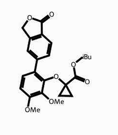 CCC(C)OC(=O)C1(Oc2c(-c3ccc4c(c3)COC4=O)ccc(OC)c2OC)CC1